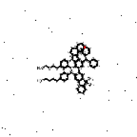 CCCCCc1ccc(N2B3c4cc(CCCCC)ccc4-n4c5ccc6ccccc6c5c5c(C(c6ccccc6)c6ccccc6)cc(c3c54)-c3cc4c(cc32)-c2ccccc2C4(C)C)cc1